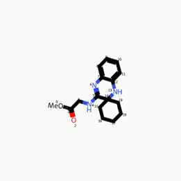 COC(=O)CNC1=Nc2ccccc2NC12CCCCC2